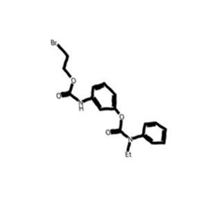 CCN(C(=O)Oc1cccc(NC(=O)OCCBr)c1)c1ccccc1